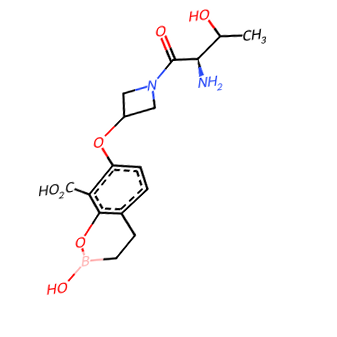 CC(O)[C@@H](N)C(=O)N1CC(Oc2ccc3c(c2C(=O)O)OB(O)CC3)C1